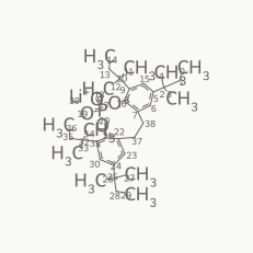 CCC(C)(C)c1cc2c(c(C(C)(C)CC)c1)OP(=O)([O-])Oc1c(cc(C(C)(C)CC)cc1C(C)(C)CC)CC2.[Li+]